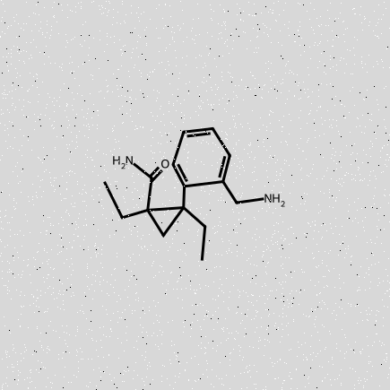 CCC1(C(N)=O)CC1(CC)c1ccccc1CN